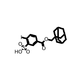 O=C(OCC12CC3CC(CC(C3)C1)C2)c1ccc(I)c(S(=O)(=O)O)c1